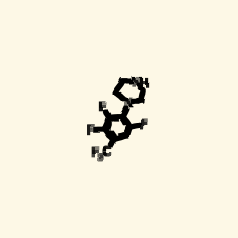 Fc1cc(C(F)(F)F)c(F)c(F)c1N1CCNCC1